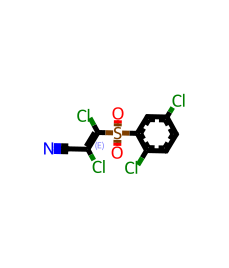 N#C/C(Cl)=C(\Cl)S(=O)(=O)c1cc(Cl)ccc1Cl